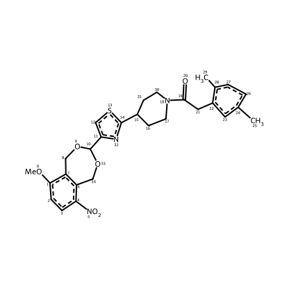 COc1ccc([N+](=O)[O-])c2c1COC(c1csc(C3CCN(C(=O)Cc4cc(C)ccc4C)CC3)n1)OC2